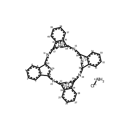 [AlH2][Cl].c1ccc2c(c1)-c1nc-2nc2[nH]c(nc3nc(nc4[nH]c(n1)c1ccccc41)-c1ccccc1-3)c1ccccc21